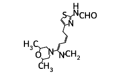 C=N/C(=C\C=C/Cc1csc(NC=O)n1)N1CC(C)OC(C)C1